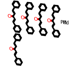 O=C(C=Cc1ccccc1)C=Cc1ccccc1.O=C(C=Cc1ccccc1)C=Cc1ccccc1.O=C(C=Cc1ccccc1)C=Cc1ccccc1.O=C(C=Cc1ccccc1)C=Cc1ccccc1.O=C(C=Cc1ccccc1)C=Cc1ccccc1.[Pd].[Pd]